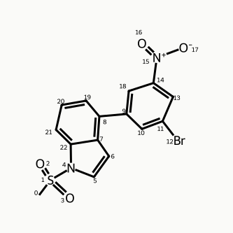 CS(=O)(=O)n1ccc2c(-c3cc(Br)cc([N+](=O)[O-])c3)cccc21